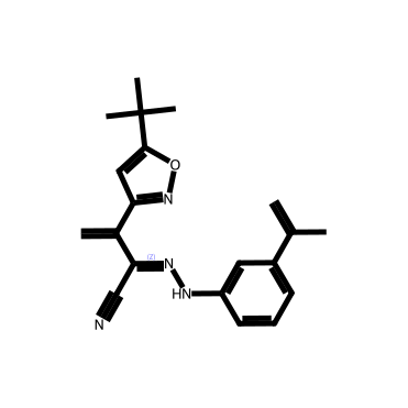 C=C(C)c1cccc(N/N=C(\C#N)C(=C)c2cc(C(C)(C)C)on2)c1